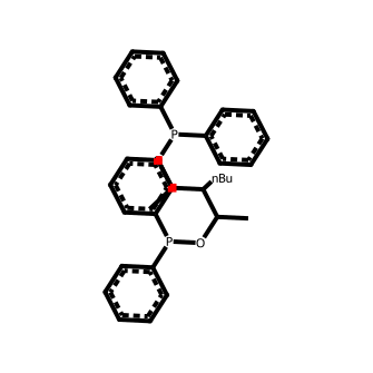 CCCCC(C(C)OP(c1ccccc1)c1ccccc1)C(C)OP(c1ccccc1)c1ccccc1